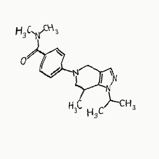 CC1CN(c2ccc(C(=O)N(C)C)cc2)Cc2cnn(C(C)C)c21